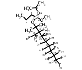 CCC[Si](OC)(OC(C)C)OC(C)(C)C(F)(C(F)(F)F)C(F)(F)C(F)(F)C(F)(F)C(F)(F)C(F)(F)C(F)(F)F